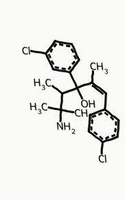 CC(=Cc1ccc(Cl)cc1)C(O)(c1cccc(Cl)c1)C(C)C(C)(C)N